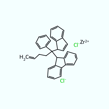 C=CCCC(c1ccccc1)(C1C=Cc2ccccc21)C1c2ccccc2-c2ccccc21.[Cl-].[Cl-].[Zr+2]